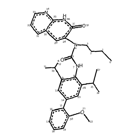 CCCCN(C(=O)Nc1c(C(C)C)cc(-c2ccccc2OC)cc1C(C)C)c1cc2cccnc2[nH]c1=O